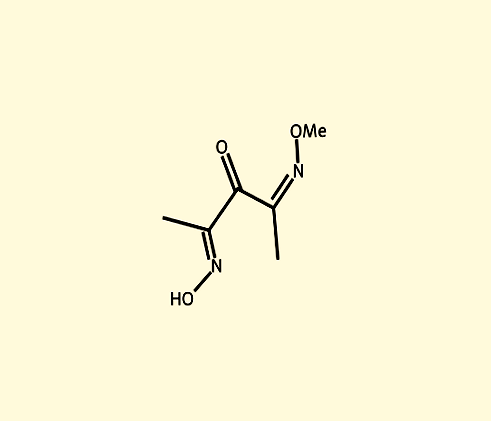 CON=C(C)C(=O)C(C)=NO